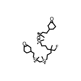 CC(CF)(CCC[Si](C)(C)C[Si](C)(C)CCC1CCC2OC2C1)CCC[Si](C)(C)O[Si](C)(C)CCC1CCC2OC2C1